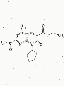 CCOC(=O)c1cc2c(C)nc([S+](C)[O-])nc2n(C2CCCC2)c1=O